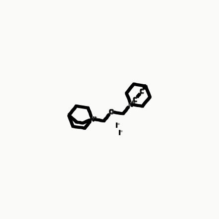 C1C[N+]2(COC[N+]34CCC(CC3)CC4)CCC1CC2.[I-].[I-]